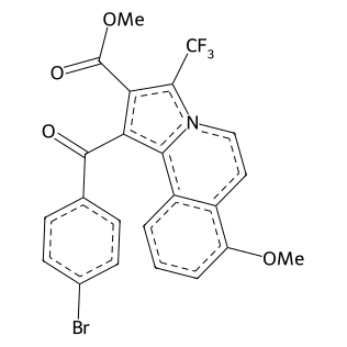 COC(=O)c1c(C(=O)c2ccc(Br)cc2)c2c3cccc(OC)c3ccn2c1C(F)(F)F